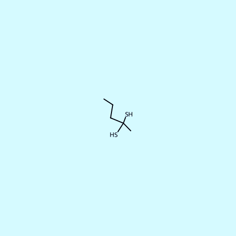 CCCC(C)(S)S